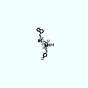 O=C(NO)C(CNS(=O)(=O)CC=Cc1cccc2ccccc12)NS(=O)(=O)CC=Cc1ccc(Cl)cc1